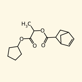 CC(OC(=O)C1CC2C=CC1C2)C(=O)OC1CCCC1